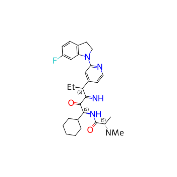 CC[C@H](C(=N)C(=O)[C@@H](NC(=O)[C@H](C)NC)C1CCCCC1)c1ccnc(N2CCc3ccc(F)cc32)c1